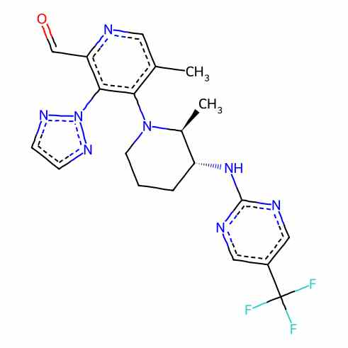 Cc1cnc(C=O)c(-n2nccn2)c1N1CCC[C@@H](Nc2ncc(C(F)(F)F)cn2)[C@@H]1C